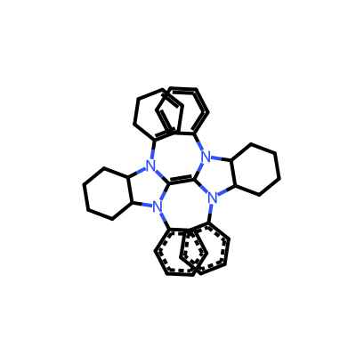 C1=C=C(N2/C(=C3\N(C4=CC=CCC4)C4CCCCC4N3c3ccccc3)N(c3ccccc3)C3CCCCC32)C=CC=1